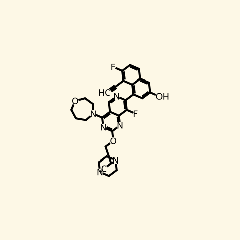 C#Cc1c(F)ccc2cc(O)cc(-c3ncc4c(N5CCCOCC5)nc(OCC5CN6CCN5CC6)nc4c3F)c12